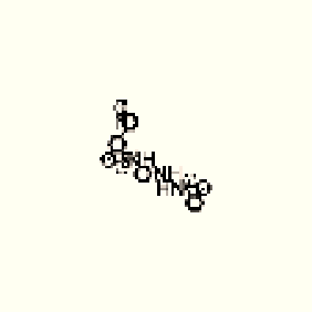 COc1cccc(-c2ccc(OC)c([S+]([O-])Nc3cccc(NCCNC(=O)c4ccccc4OC)c3)c2)n1